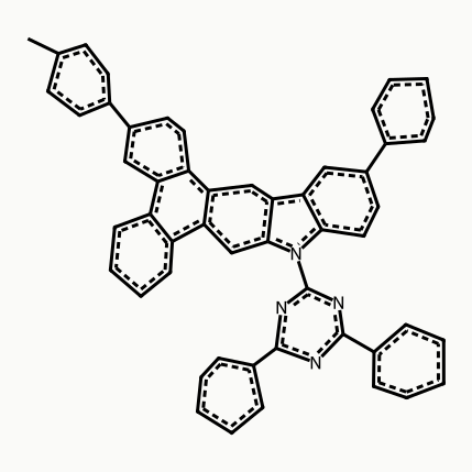 Cc1ccc(-c2ccc3c(c2)c2ccccc2c2cc4c(cc32)c2cc(-c3ccccc3)ccc2n4-c2nc(-c3ccccc3)nc(-c3ccccc3)n2)cc1